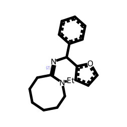 CCN1CCCCCC/C1=N/C(c1ccccc1)c1ccco1